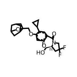 O=C(O)[C@@H]1CC(F)(F)CN1C(=O)c1cc(C2CC2)c(OCC23CC4CC(CC2C4)C3)cc1F